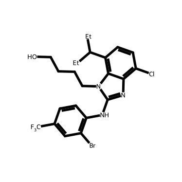 CCC(CC)c1ccc(Cl)c2nc(Nc3ccc(C(F)(F)F)cc3Br)n(CCCCO)c12